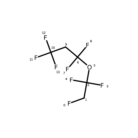 FCC(F)(F)OC(F)(F)CC(F)(F)F